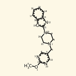 COc1ncc(CN2CCN(c3nc4ccccc4o3)CC2)cn1